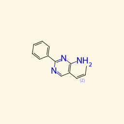 C/C=C\c1cnc(-c2ccccc2)nc1N